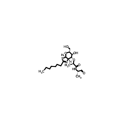 CCCCCCCC1=N[C@@H]2[C@@H](O[C@H](C)C(=O)N[C@@H](C)[C]=O)[C@H](O)[C@@H](CO)O[C@@H]2S1